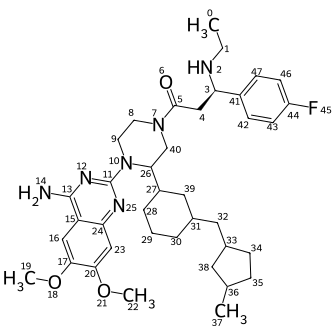 CCN[C@H](CC(=O)N1CCN(c2nc(N)c3cc(OC)c(OC)cc3n2)C(C2CCCC(CC3CCC(C)C3)C2)C1)c1ccc(F)cc1